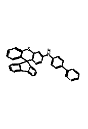 c1ccc(-c2ccc(Nc3ccc4c(c3)Sc3ccccc3C43c4ccccc4-c4ccccc43)cc2)cc1